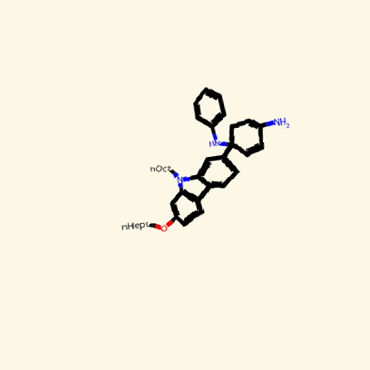 CCCCCCCCn1c2cc(OCCCCCCC)ccc2c2ccc(C3(Nc4ccccc4)C=CC(N)=CC3)cc21